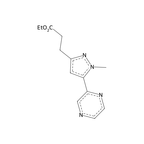 CCOC(=O)CCc1cc(-c2cnccn2)n(C)n1